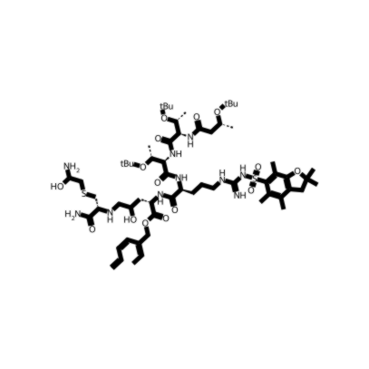 C=C/C=C\C(=C/C)COC(=O)[C@H](CC(O)CN[C@@H](CSCC(N)O)C(N)=O)NC(=O)[C@H](CCCNC(=N)NS(=O)(=O)c1c(C)c(C)c2c(c1C)OC(C)(C)C2)NC(=O)[C@@H](NC(=O)[C@@H](NC(=O)C[C@@H](C)OC(C)(C)C)[C@@H](C)OC(C)(C)C)[C@@H](C)OC(C)(C)C